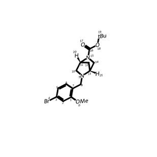 COc1cc(Br)ccc1CN1C[C@H]2C[C@@H]1CN2C(=O)OC(C)(C)C